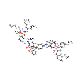 CCCCC(CC)CN(CC(CC)CCCC)S(=O)(=O)c1cccc(CN(CC)c2ccc(C(=C3C=CC(=[N+](CC)Cc4cccc(S(=O)(=O)N(CC(CC)CCCC)CC(CC)CCCC)c4)C=C3)c3ccccc3S(=O)(=O)O)cc2)c1